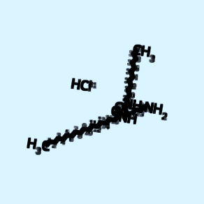 CCCCCCCCCCCCCCCCCC(=O)N[C@@H](CCCCN)C(=O)NCCCCCCCCCCCC.Cl